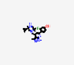 Cc1n[nH]c2nc(-c3ccc(O)cc3F)cc(CN3CC(C)(C4CC4)NCC3(C)C)c12